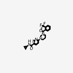 O=C(NC1CC1)c1ccc(N2CCCN(C(=O)c3ccccc3C(F)(F)F)C2)nn1